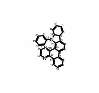 C1=CC2c3ccc4c5ccccc5c5nccnc5c4c3N(c3ccccc3)C2C=C1